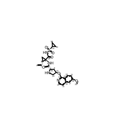 C=C[C@@H]1C[C@]1(NC(=O)[C@@H]1CC(Oc2nccc3cc(OC)ccc23)CN1)C(=O)NS(=O)(=O)C1CC1